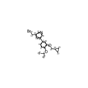 FC(F)Oc1ccc(-c2cncc(CBr)n2)cc1OCC1CC1